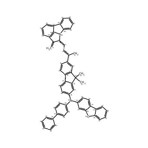 C=c1/c(=C\C=C(/C)c2ccc3c(c2)C(C)(C)c2cc(N(c4ccc(-c5ccccc5)cc4)c4ccc5c(c4)oc4ccccc45)ccc2-3)n2c3ccccc3c3cccc1c32